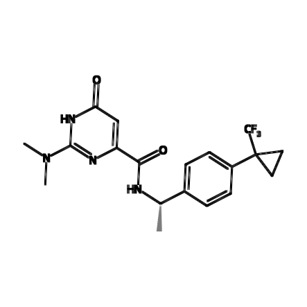 C[C@H](NC(=O)c1cc(=O)[nH]c(N(C)C)n1)c1ccc(C2(C(F)(F)F)CC2)cc1